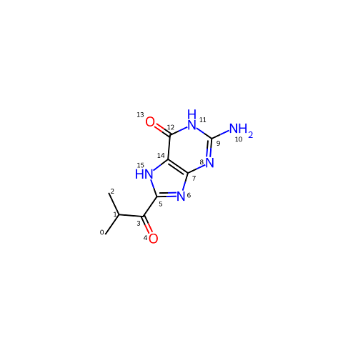 CC(C)C(=O)c1nc2nc(N)[nH]c(=O)c2[nH]1